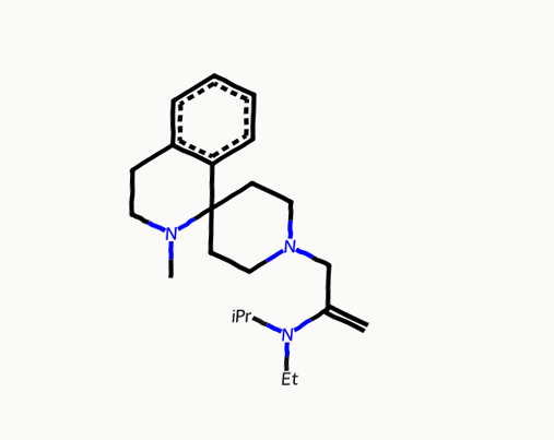 C=C(CN1CCC2(CC1)c1ccccc1CCN2C)N(CC)C(C)C